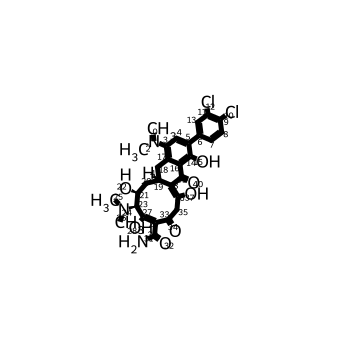 CN(C)c1cc(-c2ccc(Cl)c(Cl)c2)c(O)c2c1C[C@H]1C[C@H](O)[C@H](N(C)C)/C(O)=C(/C(N)=O)C(=O)C/C(O)=C\1C2=O